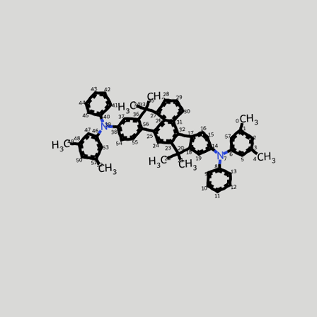 Cc1cc(C)cc(N(c2ccccc2)c2ccc3c(c2)C(C)(C)c2cc4c5c(cccc5c2-3)C(C)(C)c2cc(N(c3ccccc3)c3cc(C)cc(C)c3)ccc2-4)c1